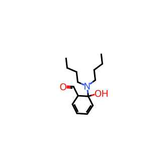 CCCCN(CCCC)C1(O)C=CC=CC1C=O